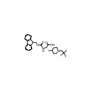 O=C(N[C@@H](CC1CCN(CC(F)(F)F)CC1)C(=O)O)OCC1c2ccccc2-c2ccccc21